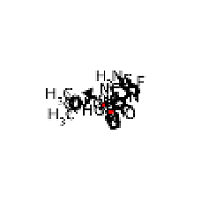 C[C@@H]1CN(CC2(COc3nc(N4C5CCC4CN(C[C@@H](C)O)C5)c4c5c(c(-c6ncc(F)c7sc(N)c(C#N)c67)c(F)c4n3)COC5)CC2)C[C@H](C)O1